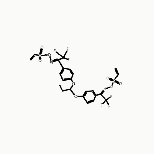 C=CS(=O)(=O)ON=C(c1ccc(OC(CC)Oc2ccc(C(=NOS(=O)(=O)C=C)C(F)(F)F)cc2)cc1)C(F)(F)F